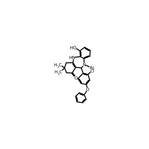 CC(=O)N1c2cccc(O)c2NC2=C(C(=O)CC(C)(C)C2)C1c1ccc(Oc2ccccc2)cc1Cl